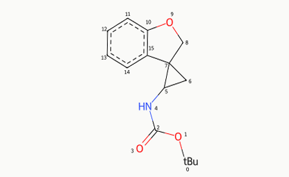 CC(C)(C)OC(=O)NC1CC12COc1ccccc12